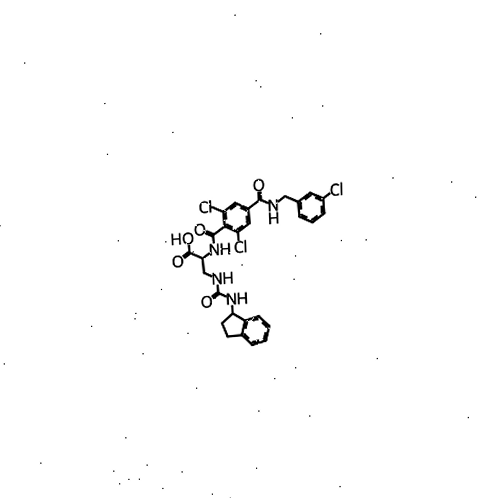 O=C(NCC(NC(=O)c1c(Cl)cc(C(=O)NCc2cccc(Cl)c2)cc1Cl)C(=O)O)NC1CCc2ccccc21